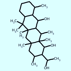 CC(O)C1C(C)CC2(C)CC3(C)C(C(O)C4C(C)CCCC4C3(C)C)C(C)C2(C)C1O